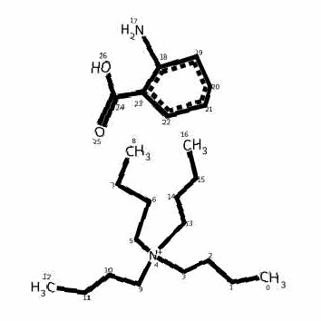 CCCC[N+](CCCC)(CCCC)CCCC.Nc1ccccc1C(=O)O